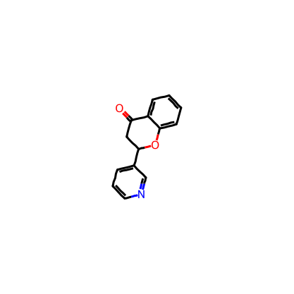 O=C1CC(c2cccnc2)Oc2ccccc21